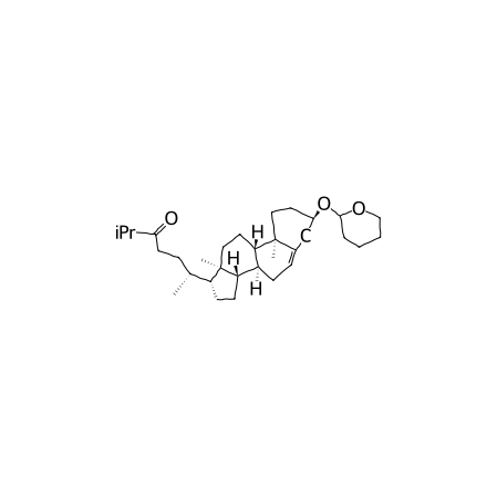 CC(C)C(=O)CC[C@@H](C)[C@H]1CC[C@H]2[C@@H]3CC=C4C[C@H](OC5CCCCO5)CC[C@]4(C)[C@H]3CC[C@]12C